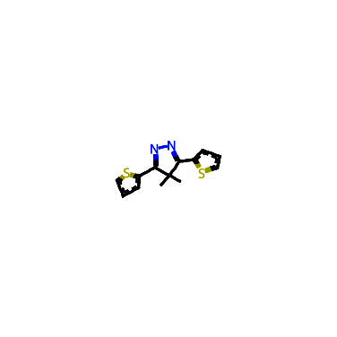 CC1(C)C(c2cccs2)=NN=C1c1cccs1